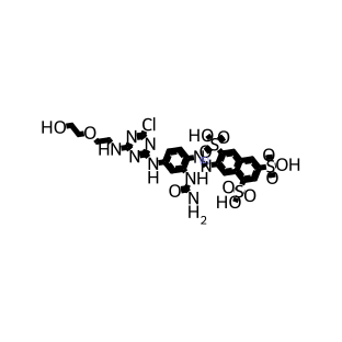 NC(=O)Nc1cc(Nc2nc(Cl)nc(NCCOCCO)n2)ccc1/N=N/c1cc2c(S(=O)(=O)O)cc(S(=O)(=O)O)cc2cc1S(=O)(=O)O